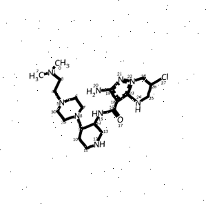 CN(C)CCN1CCN(C2CCNCC2NC(=O)c2c(N)nn3c2NCC(Cl)C3)CC1